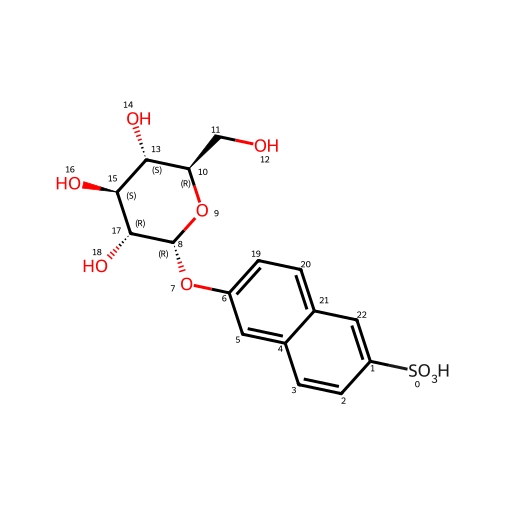 O=S(=O)(O)c1ccc2cc(O[C@H]3O[C@H](CO)[C@@H](O)[C@H](O)[C@H]3O)ccc2c1